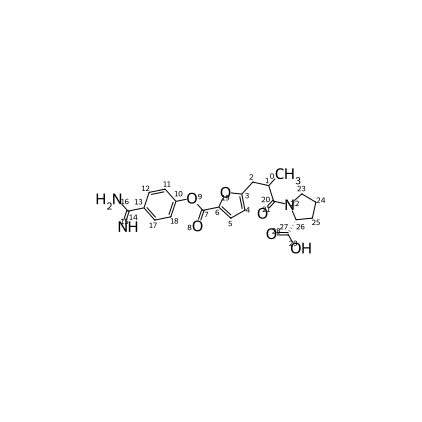 CC(Cc1ccc(C(=O)Oc2ccc(C(=N)N)cc2)o1)C(=O)N1CCC[C@@H]1C(=O)O